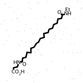 CCNC(=O)CCCCCCCCCCCCCCCCCCC(=O)NCCC(=O)O